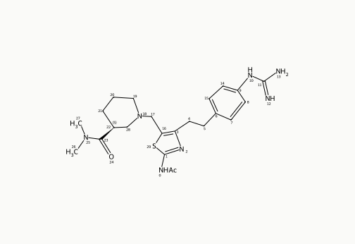 CC(=O)Nc1nc(CCc2ccc(NC(=N)N)cc2)c(CN2CCC[C@H](C(=O)N(C)C)C2)s1